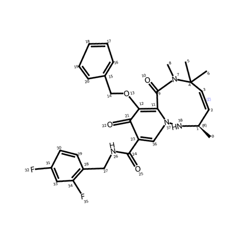 C[C@@H]1/C=C\C(C)(C)N(C)C(=O)c2c(OCc3ccccc3)c(=O)c(C(=O)NCc3ccc(F)cc3F)cn2N1